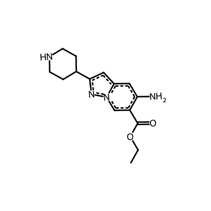 CCOC(=O)c1cn2nc(C3CCNCC3)cc2cc1N